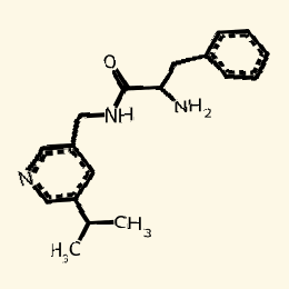 CC(C)c1cncc(CNC(=O)C(N)Cc2ccccc2)c1